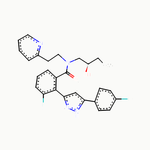 COC[C@@H](O)CN(CCc1ccccn1)C(=O)c1cccc(F)c1-c1cc(-c2ccc(F)cc2)[nH]n1